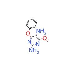 COc1nc(N)nc(Oc2ccccc2)c1N